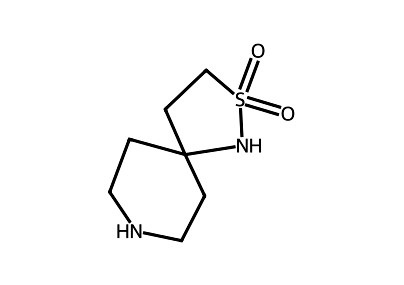 O=S1(=O)CCC2(CCNCC2)N1